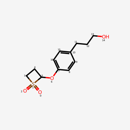 O=S1(=O)CCC1Oc1ccc(CCCO)cc1